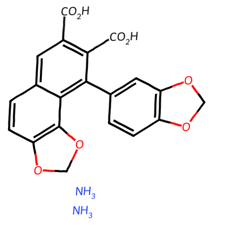 N.N.O=C(O)c1cc2ccc3c(c2c(-c2ccc4c(c2)OCO4)c1C(=O)O)OCO3